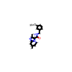 COc1cccc(CNC(=O)c2c(C)nc3cc(C)ccn23)c1